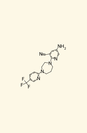 N#Cc1cc(N)cnc1N1CCCN(c2ccc(C(F)(F)F)cn2)CC1